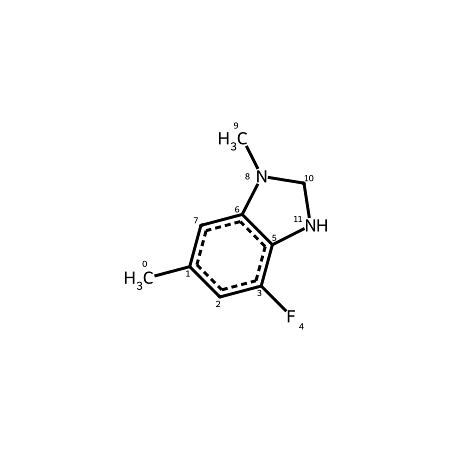 Cc1cc(F)c2c(c1)N(C)CN2